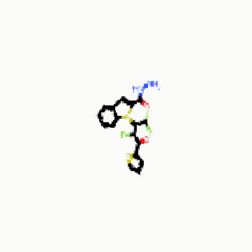 NNC(=O)C1=Cc2ccccc2S1=C(C(F)F)C(F)C(=O)c1cccs1